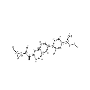 CCC[C@H](O)c1cc(C)c(-c2cnc3cc(NC(=O)[C@H]4C[C@H]4F)ncc3c2)cn1